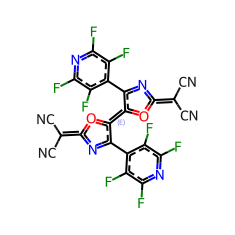 N#CC(C#N)=c1nc(-c2c(F)c(F)nc(F)c2F)/c(=c2\oc(=C(C#N)C#N)nc2-c2c(F)c(F)nc(F)c2F)o1